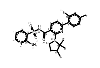 Cc1ccc(-c2ccc(C(=O)NS(=O)(=O)c3cccnc3N)c(N3CCC(C)C3(C)C)n2)c(F)c1